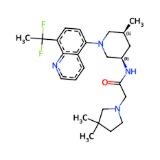 C[C@H]1C[C@@H](NC(=O)CN2CCC(C)(C)C2)CN(c2ccc(C(C)(F)F)c3ncccc23)C1